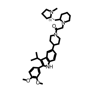 COc1ccc(-c2[nH]c3ccc(C4CCN(C(=O)CN5CCCCC5C[C@@H]5CCCN5C)CC4)cc3c2C(C)C)cc1OC